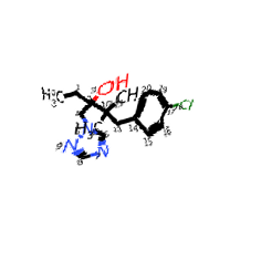 CCC(O)(Cn1cncn1)C(C)(C)Cc1ccc(Cl)cc1